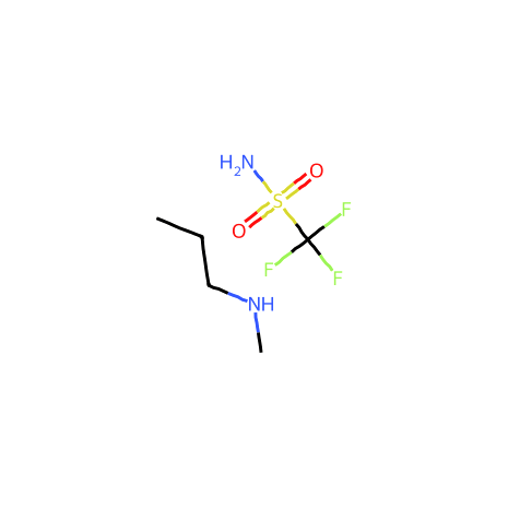 CCCNC.NS(=O)(=O)C(F)(F)F